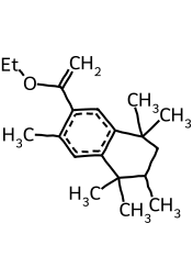 C=C(OCC)c1cc2c(cc1C)C(C)(C)C(C)CC2(C)C